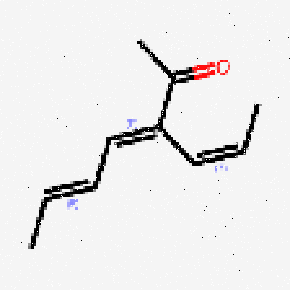 C\C=C/C(=C\C=C\C)C(C)=O